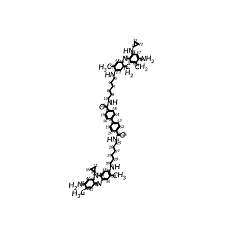 C=C1C=C(NCCCCCCNC(=O)c2ccc(-c3ccc(C(=O)NCCCCCCNc4cc5c(cc4C)nc4cc(C)c(N)cc4[n+]5C4CC4)cc3)cc2)C(C)=C/C1=N/c1cc(C)c(N)cc1NC1CC1